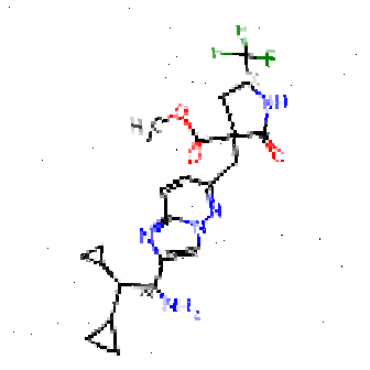 COC(=O)C1(Cc2ccc3nc([C@@H](N)C(C4CC4)C4CC4)cn3n2)C[C@@H](C(F)(F)F)NC1=O